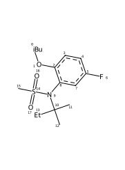 CCC(C)Oc1ccc(F)cc1N(C(C)(C)CC)S(C)(=O)=O